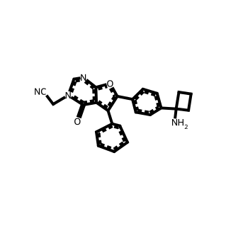 N#CCn1cnc2oc(-c3ccc(C4(N)CCC4)cc3)c(-c3ccccc3)c2c1=O